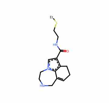 CCSCCNC(=O)c1cn2c3c1CCC=C3CNCC2